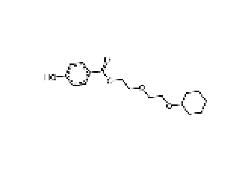 O=C(OCCOCCOC1CCCCC1)c1ccc(O)cc1